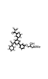 CNCC(O)COc1cccc(-c2nc(-c3ccnc(C(=O)N(C)C)c3)cc(N(C)C3CCCCC3)n2)c1